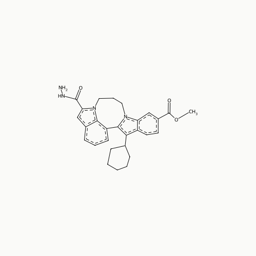 COC(=O)c1ccc2c(C3CCCCC3)c3n(c2c1)CCCn1c(C(=O)NN)cc2cccc-3c21